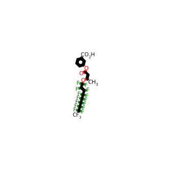 CC(=CC(=O)Oc1cccc(C(=O)O)c1)OC(F)(F)C(F)=C(F)C(F)(F)C(F)(F)C(F)(F)C(F)(F)C(F)(F)C(F)(F)F